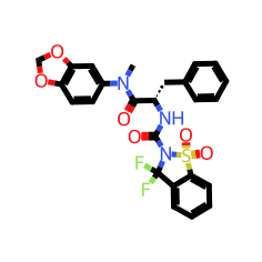 CN(C(=O)[C@H](Cc1ccccc1)NC(=O)N1C(F)(F)c2ccccc2S1(=O)=O)c1ccc2c(c1)OCO2